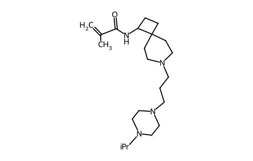 C=C(C)C(=O)NC1CCC12CCN(CCCN1CCN(C(C)C)CC1)CC2